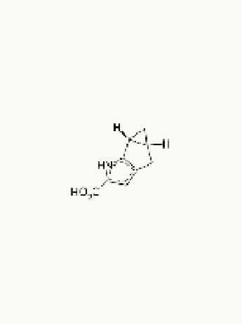 O=C(O)c1cc2c([nH]1)[C@@H]1C[C@@H]1C2